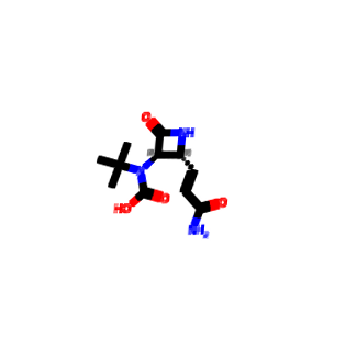 CC(C)(C)N(C(=O)O)[C@H]1C(=O)N[C@@H]1C=CC(N)=O